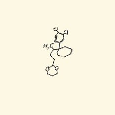 CC(CCC1OCCCO1)C1(c2ccc(Cl)c(Cl)c2)CCCCC1